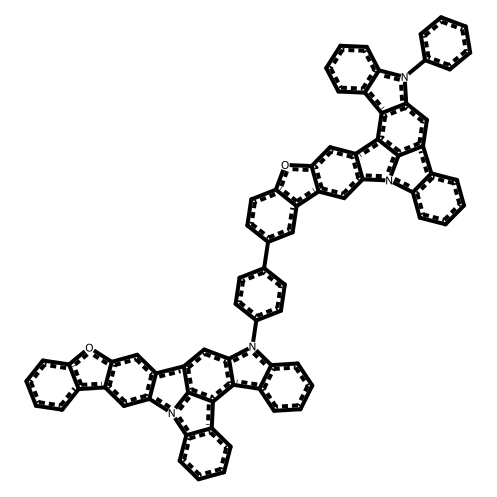 c1ccc(-n2c3ccccc3c3c4c5cc6oc7ccc(-c8ccc(-n9c%10ccccc%10c%10c%11c%12ccccc%12n%12c%13cc%14c(cc%13c(cc%109)c%11%12)oc9ccccc9%14)cc8)cc7c6cc5n5c6ccccc6c(cc32)c45)cc1